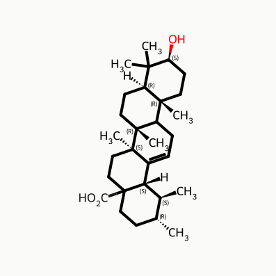 C[C@H]1[C@H](C)CCC2(C(=O)O)CC[C@]3(C)C(=CCC4[C@@]5(C)CC[C@H](O)C(C)(C)[C@@H]5CC[C@]43C)[C@H]12